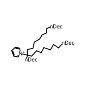 CCCCCCCCCCCCCCCCCC(CCCCCCCCCC)(CCCCCCCCCCCCCCCCC)[n+]1ccccc1